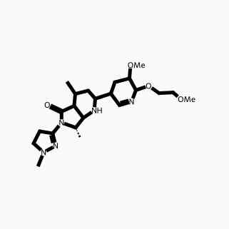 COCCOC1N=CC(C2CC(C)C3C(=O)N(C4=NN(C)CC4)[C@@H](C)C3N2)CC1OC